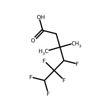 CC(C)(CC(=O)O)C(F)C(F)(F)C(F)F